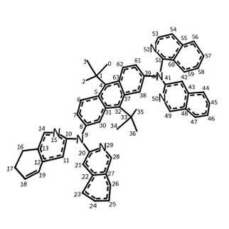 CC(C)(C)c1c2ccc(N(c3cc4c(cn3)CCC=C4)c3cc4ccccc4cn3)cc2c(C(C)(C)C)c2cc(N(c3cc4ccccc4cn3)c3nccc4ccccc34)ccc12